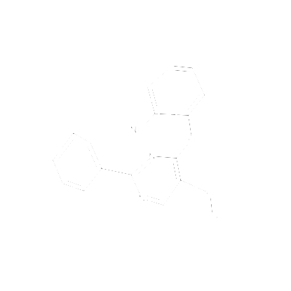 CCOC(=O)Oc1cnc(-c2ccccc2)nc1Oc1ccccc1C#N